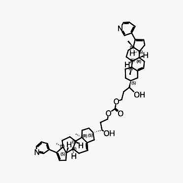 C[C@]12CC[C@H](C(O)CCOC(=O)OCCC(O)[C@H]3CC[C@@]4(C)C(=CC[C@@H]5[C@@H]4CC[C@]4(C)C(c6cccnc6)=CC[C@@H]54)C3)CC1=CC[C@@H]1[C@@H]2CC[C@]2(C)C(c3cccnc3)=CC[C@@H]12